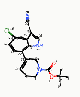 CC(C)(C)OC(=O)N1CCC=C(c2ccc(Cl)c3c(C#N)c[nH]c23)C1